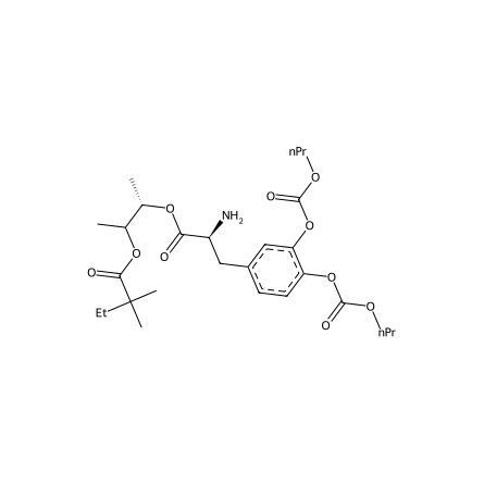 CCCOC(=O)Oc1ccc(C[C@H](N)C(=O)O[C@@H](C)C(C)OC(=O)C(C)(C)CC)cc1OC(=O)OCCC